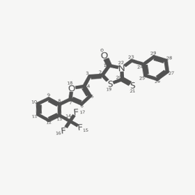 O=C1/C(=C/c2ccc(-c3ccccc3C(F)(F)F)o2)SC(=S)N1Cc1ccccc1